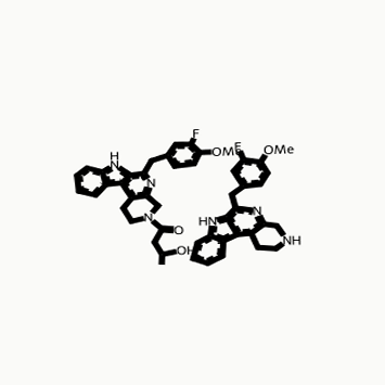 COc1ccc(Cc2nc3c(c4c2[nH]c2ccccc24)CCN(C(=O)CC(C)O)C3)cc1F.COc1ccc(Cc2nc3c(c4c2[nH]c2ccccc24)CCNC3)cc1F